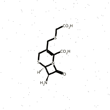 N[C@@H]1C(=O)N2C(C(=O)O)=C(CSCC(=O)O)CS[C@H]12